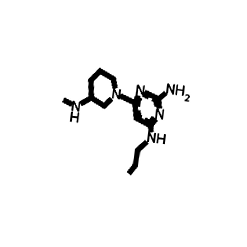 CCCNc1cc(N2CCCC(NC)C2)nc(N)n1